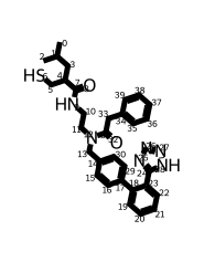 CC(C)CC(CS)C(=O)NCCN(Cc1ccc(-c2ccccc2-c2nnn[nH]2)cc1)C(=O)Cc1ccccc1